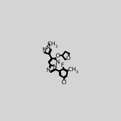 Cc1cc(Cl)cc(-c2cnc3cc(-c4cnn(C)c4)c(OC4CCOC4)nn23)c1F